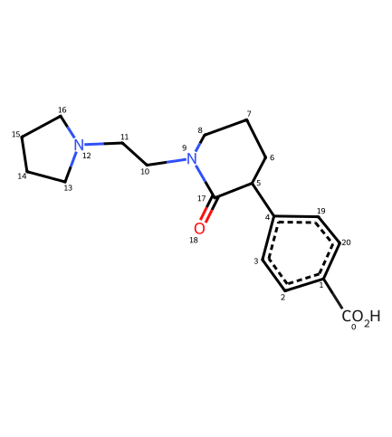 O=C(O)c1ccc(C2CCCN(CCN3CCCC3)C2=O)cc1